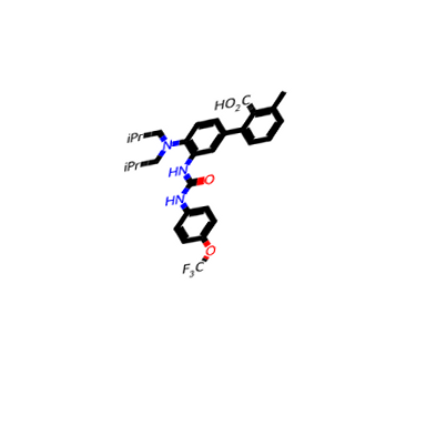 Cc1cccc(-c2ccc(N(CC(C)C)CC(C)C)c(NC(=O)Nc3ccc(OC(F)(F)F)cc3)c2)c1C(=O)O